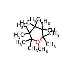 C[O+]1C(C)(C)C(C)(C)C(C)(C)C(C)(C)C1(C)C